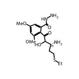 CCSCC[C@@H](N)C(O)C(=O)c1c(OC)cc(OC)cc1C(=O)NN